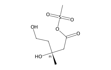 C[C@@](O)(CCO)CC(=O)OS(C)(=O)=O